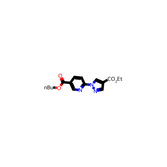 CCCCOC(=O)c1ccc(-n2cc(C(=O)OCC)cn2)nc1